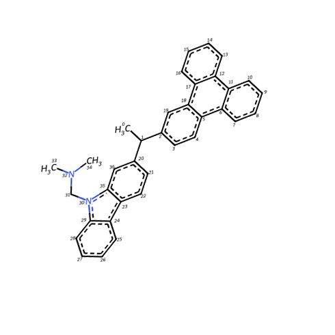 CC(c1ccc2c3ccccc3c3ccccc3c2c1)c1ccc2c3ccccc3n(CN(C)C)c2c1